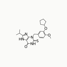 COc1ccc(Cn2c(=S)[nH]c(=O)c3[nH]c(C(C)C)nc32)cc1OC1CCCC1